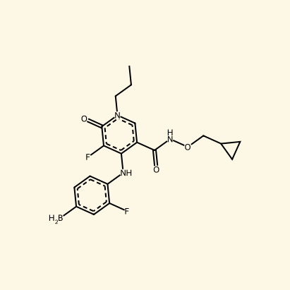 Bc1ccc(Nc2c(C(=O)NOCC3CC3)cn(CCC)c(=O)c2F)c(F)c1